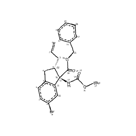 C=CC[C@H]1Cc2ccc(Br)cc2[C@@]1(NC(=O)OC(C)(C)C)C(=O)OCc1ccccc1